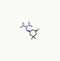 C[SiH](C)N(N=C1CC(=O)CC(C)(C)C1)[SiH](C)C